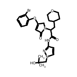 CC(C)(O)Cn1ccc(NC(=O)C(CC2CCOCC2)N2CC(Oc3ccccc3Br)=CC2=O)n1